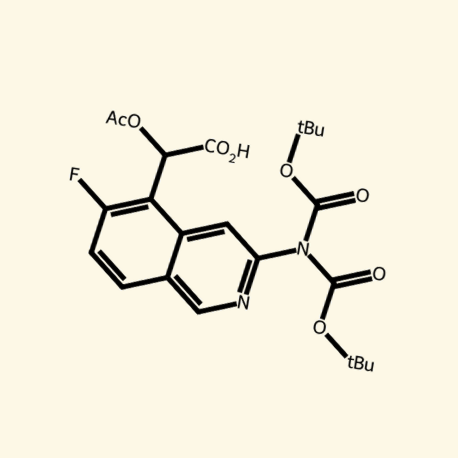 CC(=O)OC(C(=O)O)c1c(F)ccc2cnc(N(C(=O)OC(C)(C)C)C(=O)OC(C)(C)C)cc12